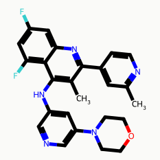 Cc1cc(-c2nc3cc(F)cc(F)c3c(Nc3cncc(N4CCOCC4)c3)c2C)ccn1